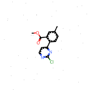 COC(=O)c1cc(C)ccc1-c1ccnc(Cl)n1